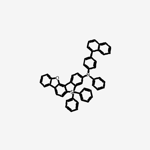 c1ccc(N(c2ccc(-c3cccc4ccccc34)cc2)c2ccc3c(c2)[Si](c2ccccc2)(c2ccccc2)c2ccc4c(oc5ccccc54)c2-3)cc1